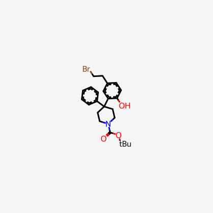 CC(C)(C)OC(=O)N1CCC(c2ccccc2)(c2cc(CCBr)ccc2O)CC1